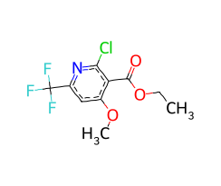 CCOC(=O)c1c(OC)cc(C(F)(F)F)nc1Cl